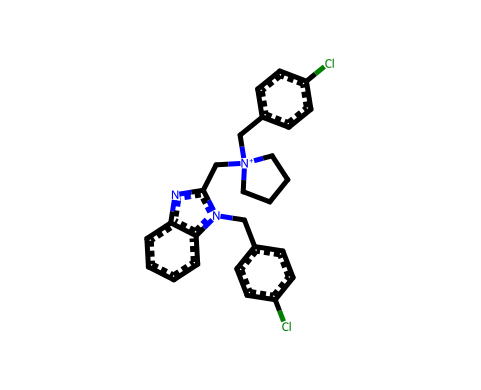 Clc1ccc(Cn2c(C[N+]3(Cc4ccc(Cl)cc4)CCCC3)nc3ccccc32)cc1